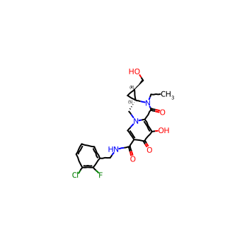 CCN1C(=O)c2c(O)c(=O)c(C(=O)NCc3cccc(Cl)c3F)cn2C[C@@]12C[C@H]2CO